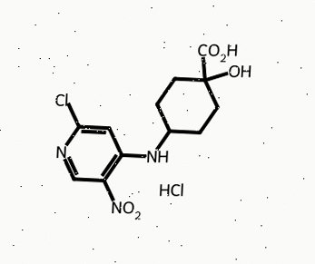 Cl.O=C(O)C1(O)CCC(Nc2cc(Cl)ncc2[N+](=O)[O-])CC1